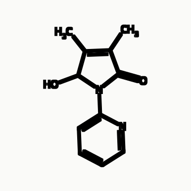 CC1=C(C)C(O)N(c2ccccn2)C1=O